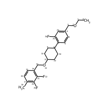 CCOCc1ccc(C2CCC(OCc3ccc(C)c(F)c3F)CC2)c(F)c1